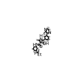 CCC(F)(F)c1cccc(NC(=O)c2c(C)[nH]c(-c3cccc(-c4nccnc4C)c3)[n+]2O)c1